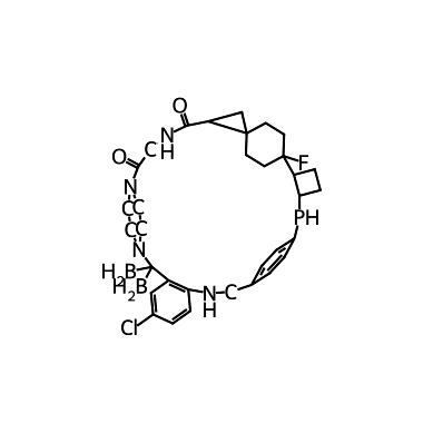 BC1(B)c2cc(Cl)ccc2NCc2ccc(cc2)PC2CCC2C2(F)CCC3(CC2)CC3C(=O)NCC(=O)N2CCN1CC2